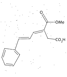 COC(=O)/C(=C/C=C/c1ccccc1)CC(=O)O